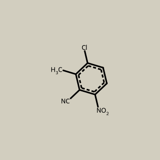 Cc1c(Cl)ccc([N+](=O)[O-])c1C#N